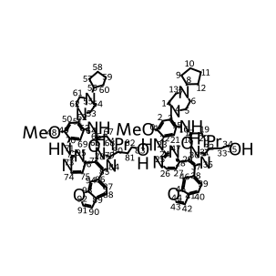 COc1cc(N2CCN(C3CCCC3)CC2)c(NC(=O)CC(C)C)cc1Nc1nccc(-c2[nH]c(CCCO)nc2-c2ccc3ccoc3c2)n1.COc1cc(N2CCN(C3CCCC3)CC2)c(NC(=O)CC(C)C)cc1Nc1nccc(-c2[nH]c(CCCO)nc2-c2ccc3ccoc3c2)n1